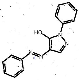 Oc1c(/N=N/c2ccccc2)cnn1-c1ccccc1